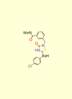 CNC(=O)c1cccc(CN2SC([AsH]c3ccc(Cl)cc3)NC2=O)c1